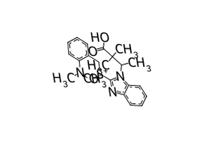 CC(n1c([S+]([O-])Cc2ccccc2N(C)C)nc2ccccc21)C(C)(C)C(=O)O